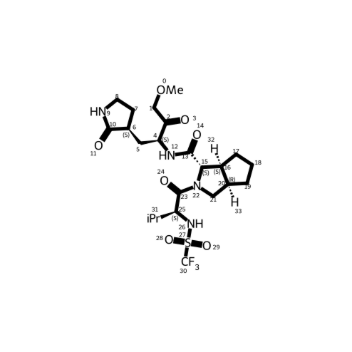 COCC(=O)[C@H](C[C@@H]1CCNC1=O)NC(=O)[C@@H]1[C@H]2CCC[C@H]2CN1C(=O)[C@@H](NS(=O)(=O)C(F)(F)F)C(C)C